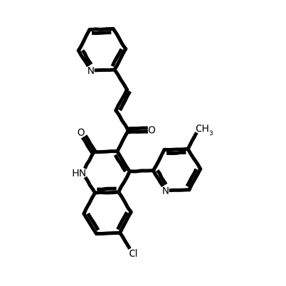 Cc1ccnc(-c2c(C(=O)/C=C/c3ccccn3)c(=O)[nH]c3ccc(Cl)cc23)c1